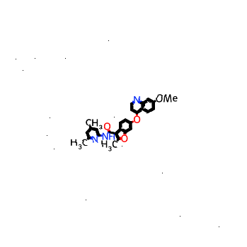 COc1ccc2c(Oc3ccc4c(C(=O)Nc5cc(C)cc(C)n5)c(C)oc4c3)ccnc2c1